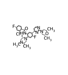 C[C@@H]1CN(c2nccc(-c3cc(NC(=O)c4ccc(F)cc4C(F)(F)F)c(N4CCN(C)[C@H](C)C4)cc3F)n2)C[C@H](C)O1